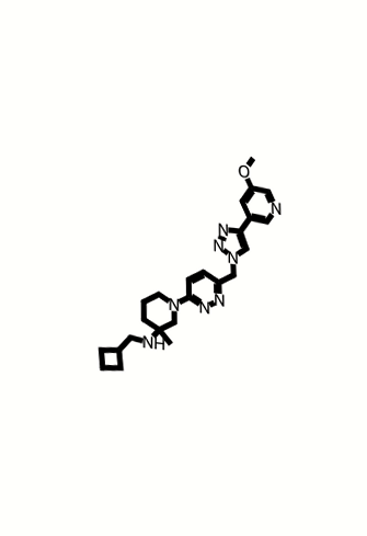 COc1cncc(-c2cn(Cc3ccc(N4CCCC(C)(NCC5CCC5)C4)nn3)nn2)c1